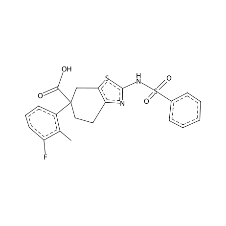 Cc1c(F)cccc1C1(C(=O)O)CCc2nc(NS(=O)(=O)c3ccccc3)sc2C1